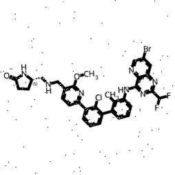 COc1nc(-c2cccc(-c3cccc(Nc4nc(C(F)F)nc5cc(Br)cnc45)c3C)c2Cl)ccc1CNC[C@@H]1CCC(=O)N1